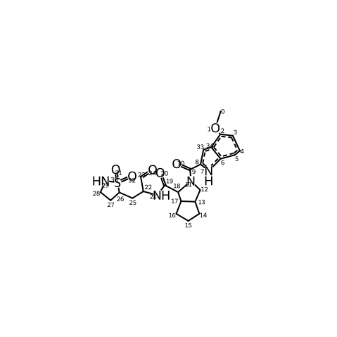 COc1cccc2[nH]c(C(=O)N3CC4CCCC4C3C(=O)NC(C=O)CC3CCNS3(=O)=O)cc12